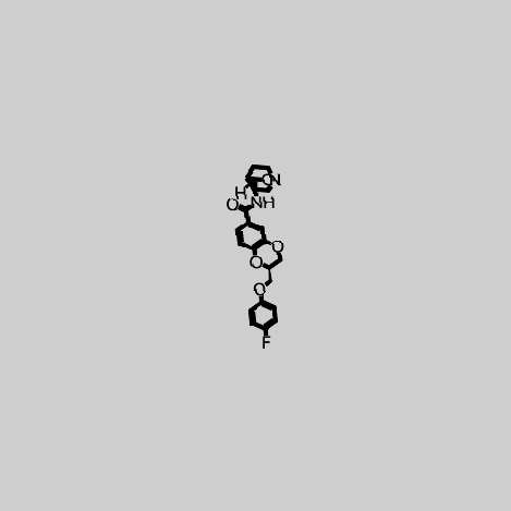 O=C(N[C@H]1CN2CCC1CC2)c1ccc2c(c1)OC[C@@H](COc1ccc(F)cc1)O2